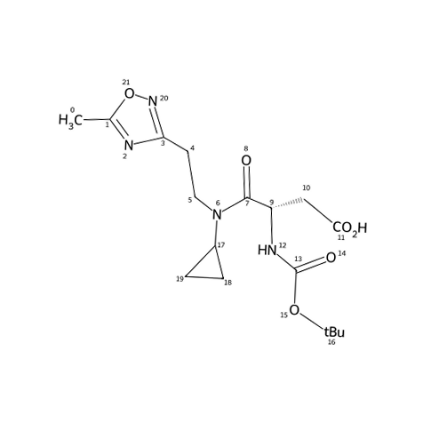 Cc1nc(CCN(C(=O)[C@H](CC(=O)O)NC(=O)OC(C)(C)C)C2CC2)no1